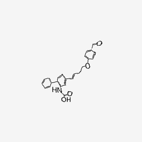 O=Cc1ccc(OCCC=Cc2ccc(-c3ccccc3)c(NC(=O)O)c2)cc1